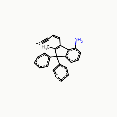 C#C/C=C\C1=C(C)C(c2ccccc2)(c2ccccc2)c2cccc(N)c21